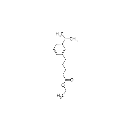 CCOC(=O)CCCCc1cccc(C(C)C)c1